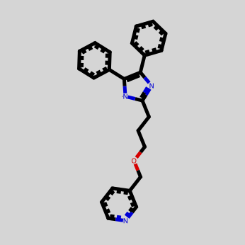 c1ccc(C2=C(c3ccccc3)N=C(CCCOCc3cccnc3)[N]2)cc1